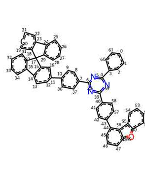 c1ccc(-c2nc(-c3ccc(-c4ccc5c(c4)C4(c6ccccc6-c6ccccc64)c4ccccc4-5)cc3)nc(-c3ccc(-c4cccc5oc6ccccc6c45)cc3)n2)cc1